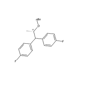 CCCCO[C@@H](C)C(c1ccc(F)cc1)c1ccc(F)cc1